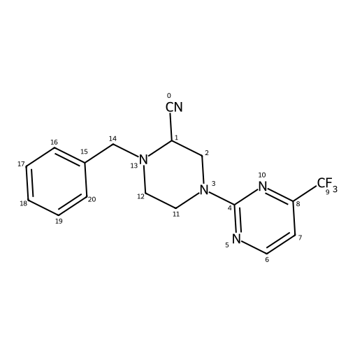 N#CC1CN(c2nccc(C(F)(F)F)n2)CCN1Cc1ccccc1